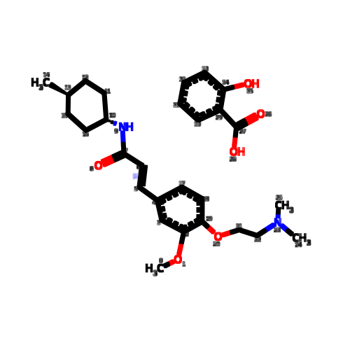 COc1cc(/C=C/C(=O)N[C@H]2CC[C@H](C)CC2)ccc1OCCN(C)C.O=C(O)c1ccccc1O